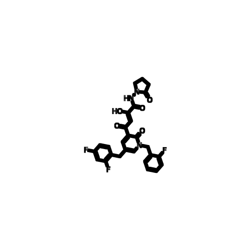 O=C(NN1CCCC1=O)C(O)=CC(=O)c1cc(Cc2ccc(F)cc2F)cn(Cc2ccccc2F)c1=O